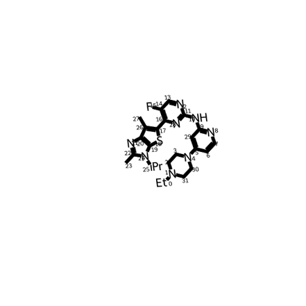 CCN1CCN(c2ccnc(Nc3ncc(F)c(-c4sc5c(nc(C)n5C(C)C)c4C)n3)c2)CC1